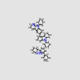 C1=C(c2cccc(-n3c4ccccc4c4c(-c5ccc6c(c5)c5cccnc5n6-c5ccccc5)cccc43)c2)C=C(c2ccccc2)NC1c1ccccc1